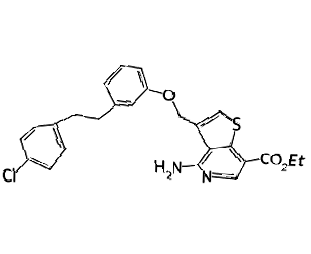 CCOC(=O)c1cnc(N)c2c(COc3cccc(CCc4ccc(Cl)cc4)c3)csc12